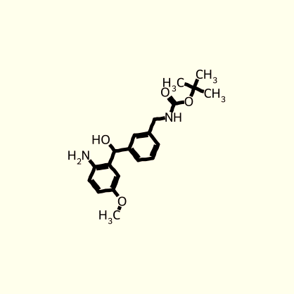 COc1ccc(N)c(C(O)c2cccc(CNC(=O)OC(C)(C)C)c2)c1